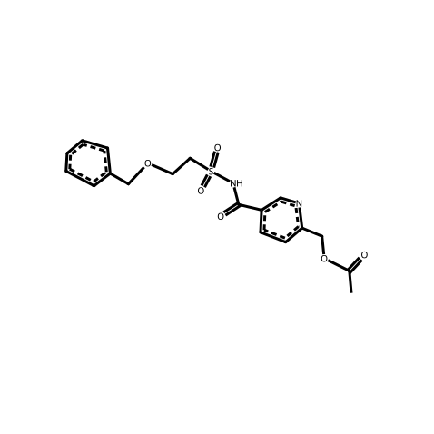 CC(=O)OCc1ccc(C(=O)NS(=O)(=O)CCOCc2ccccc2)cn1